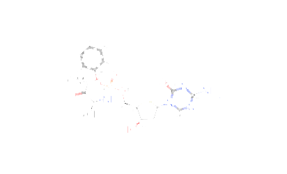 COC(=O)[C@H](C)N[P@](=O)(OC[C@H]1S[C@@H](n2cnc(N)nc2=O)C[C@H]1O)Oc1ccccc1